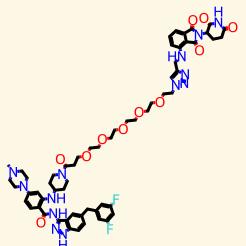 CN1CCN(c2ccc(C(=O)Nc3n[nH]c4ccc(Cc5cc(F)cc(F)c5)cc34)c(NC3CCN(C(=O)CCOCCOCCOCCOCCOCCn4cc(CNc5cccc6c5C(=O)N(C5CCC(=O)NC5=O)C6=O)nn4)CC3)c2)CC1